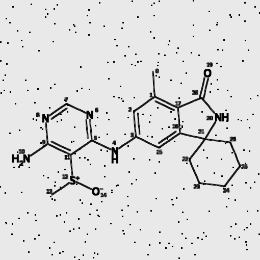 Cc1cc(Nc2ncnc(N)c2[S+](C)[O-])cc2c1C(=O)NC21CCCCC1